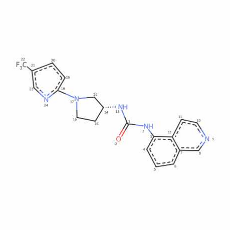 O=C(Nc1cccc2cnccc12)N[C@@H]1CCN(c2ccc(C(F)(F)F)cn2)C1